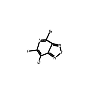 Fc1nc(Br)c2nsnc2c1Br